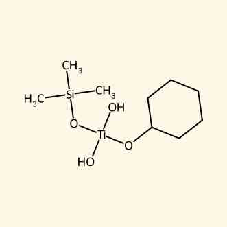 C[Si](C)(C)[O][Ti]([OH])([OH])[O]C1CCCCC1